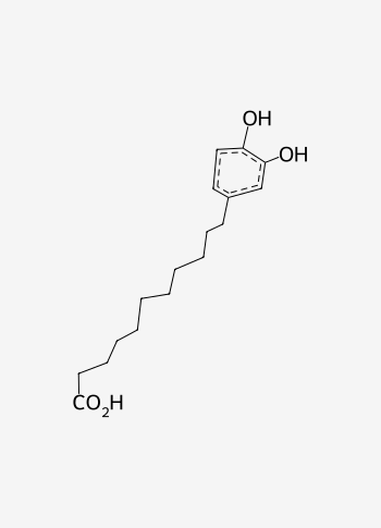 O=C(O)CCCCCCCCCCc1ccc(O)c(O)c1